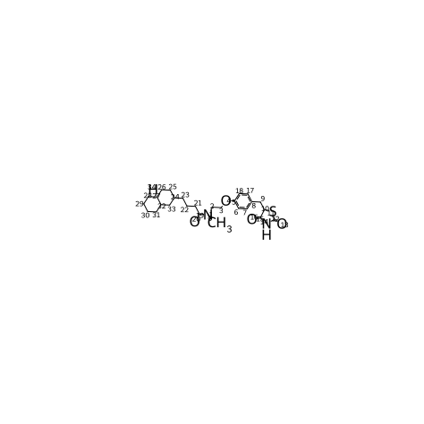 CN(CCOc1ccc(CC2SC(=O)NC2=O)cc1)C(=O)CCCC1CC[C@@H]2CCCCC2C1